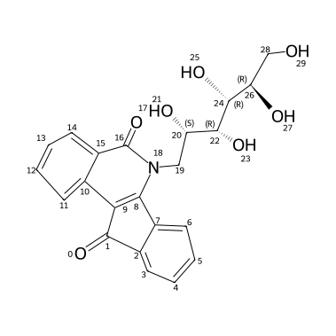 O=C1c2ccccc2-c2c1c1ccccc1c(=O)n2C[C@H](O)[C@@H](O)[C@H](O)[C@H](O)CO